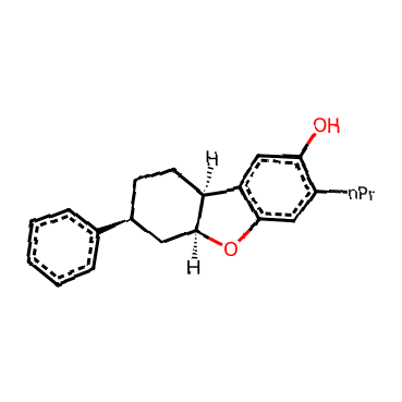 CCCc1cc2c(cc1O)[C@@H]1CC[C@H](c3ccccc3)C[C@@H]1O2